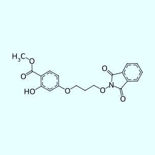 COC(=O)c1ccc(OCCCON2C(=O)c3ccccc3C2=O)cc1O